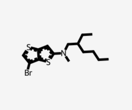 CCCCC(CC)CN(C)c1cc2scc(Br)c2s1